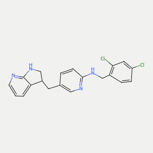 Clc1ccc(CNc2ccc(CC3CNc4ncccc43)cn2)c(Cl)c1